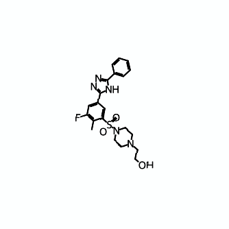 Cc1c(F)cc(-c2nnc(-c3ccccc3)[nH]2)cc1S(=O)(=O)N1CCN(CCO)CC1